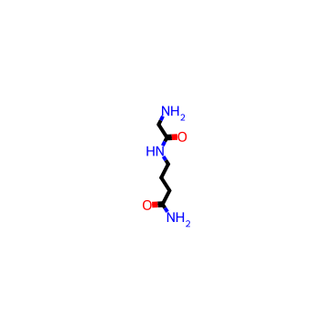 NCC(=O)NCCCC(N)=O